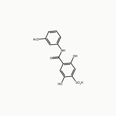 CC(=O)Oc1cccc(NC(=O)c2cc(O)c(S(=O)(=O)O)cc2O)c1